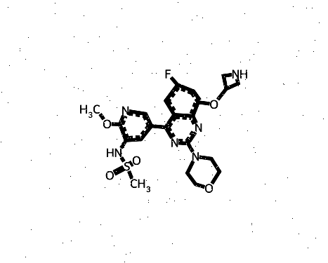 COc1ncc(-c2nc(N3CCOCC3)nc3c(OC4CNC4)cc(F)cc23)cc1NS(C)(=O)=O